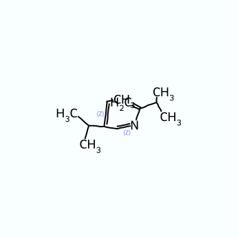 C=C(/N=C\C(=C/C)C(C)C)C(C)C